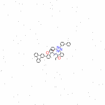 C=Cc1oc2cccc(-c3nc(-c4ccccc4)nc(-c4cccc(-c5ccccc5)c4)n3)c2c1/C=C(\C)c1cccc2oc3c(-c4ccc5c6ccccc6c6ccccc6c5c4)cccc3c12